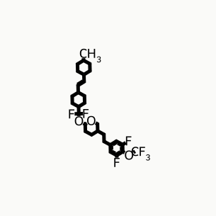 CC1CCC(/C=C/C2CCC(C(F)(F)OC3CCC(CCc4cc(F)c(OC(F)(F)F)c(F)c4)CO3)CC2)CC1